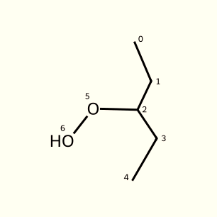 CCC(CC)OO